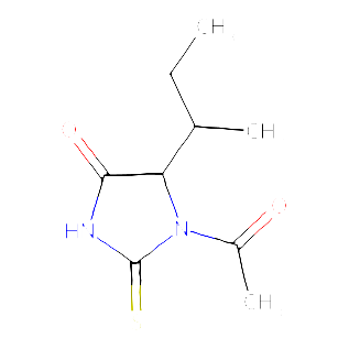 CCC(C)C1C(=O)NC(=S)N1C(C)=O